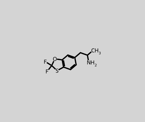 CC(N)Cc1ccc2c(c1)OC(F)(F)S2